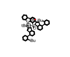 CCC(C)c1ccccc1-c1cccc2c1C=C(C(C)(C)C)[CH]2[Hf]([Cl])([Cl])([c]1cccc2c1[SiH2]c1ccccc1-2)[CH]1C(C(C)(C)C)=Cc2c(-c3ccccc3C(C)CC)cccc21